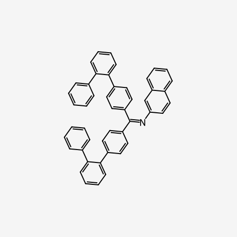 c1ccc(-c2ccccc2-c2ccc(C(=Nc3ccc4ccccc4c3)c3ccc(-c4ccccc4-c4ccccc4)cc3)cc2)cc1